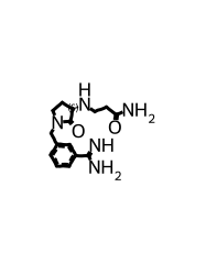 N=C(N)c1cccc(CN2CC[C@H](NCCC(N)=O)C2=O)c1